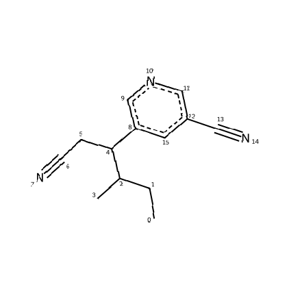 CCC(C)C(CC#N)c1cncc(C#N)c1